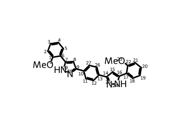 COc1ccccc1-c1cc(-c2ccc(-c3cc(-c4ccccc4OC)[nH]n3)cc2)n[nH]1